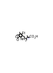 CCc1c(C)c2c(c(N)c1CCC(C)/C(C)=C/C(=O)O)C(=O)OC2